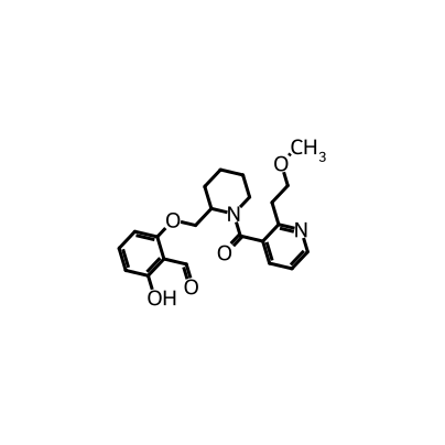 COCCc1ncccc1C(=O)N1CCCCC1COc1cccc(O)c1C=O